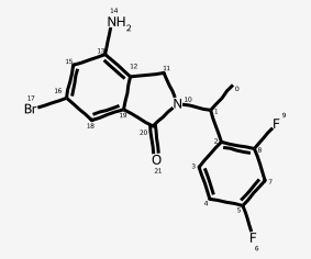 CC(c1ccc(F)cc1F)N1Cc2c(N)cc(Br)cc2C1=O